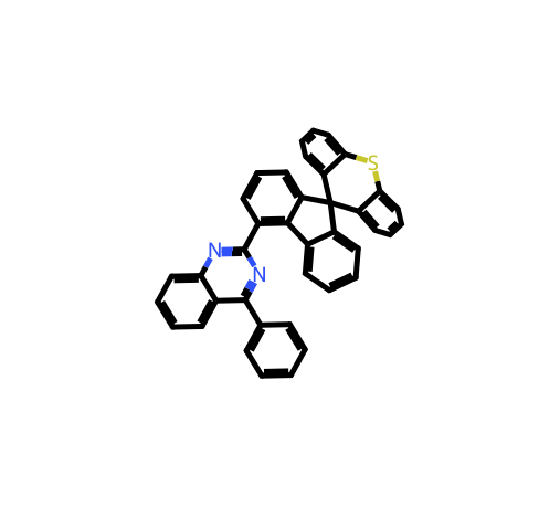 c1ccc(-c2nc(-c3cccc4c3-c3ccccc3C43c4ccccc4Sc4ccccc43)nc3ccccc23)cc1